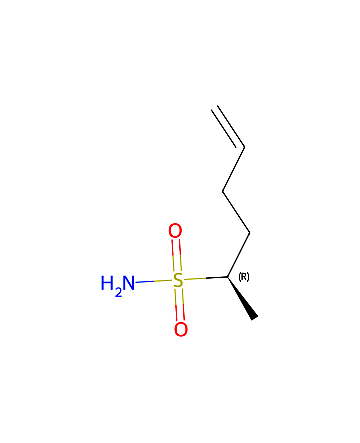 C=CCC[C@@H](C)S(N)(=O)=O